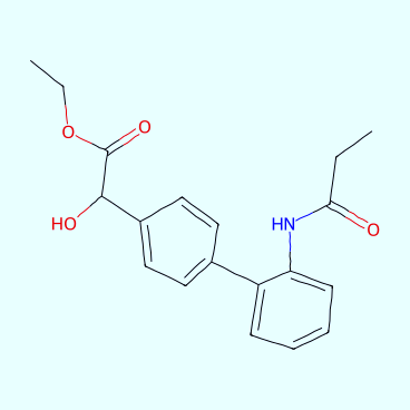 CCOC(=O)C(O)c1ccc(-c2ccccc2NC(=O)CC)cc1